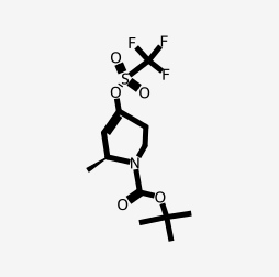 C[C@H]1C=C(OS(=O)(=O)C(F)(F)F)CCN1C(=O)OC(C)(C)C